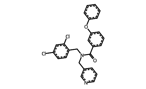 O=C(c1cccc(Oc2ccccc2)c1)N(Cc1cccnc1)Cc1ccc(Cl)cc1Cl